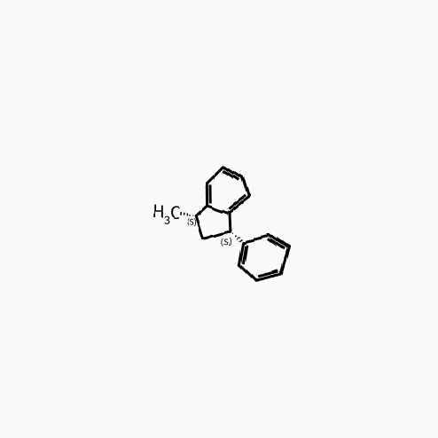 C[C@H]1C[C@@H](c2ccccc2)c2ccccc21